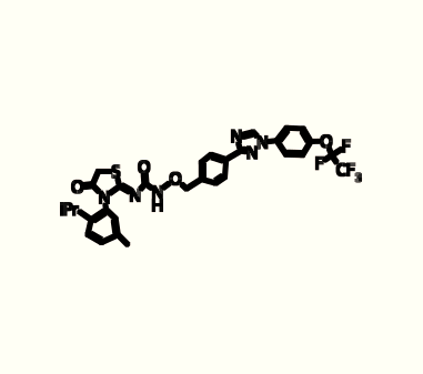 Cc1ccc(C(C)C)c(N2C(=O)CS/C2=N\C(=O)NOCc2ccc(-c3ncn(-c4ccc(OC(F)(F)C(F)(F)F)cc4)n3)cc2)c1